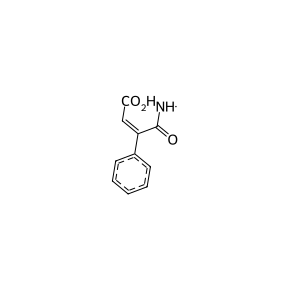 [NH]C(=O)/C(=C\C(=O)O)c1ccccc1